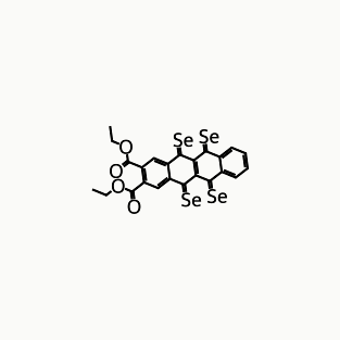 CCOC(=O)c1cc2c(=[Se])c3c(=[Se])c4ccccc4c(=[Se])c=3c(=[Se])c2cc1C(=O)OCC